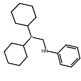 c1ccc(NCP(C2CCCCC2)C2CCCCC2)cc1